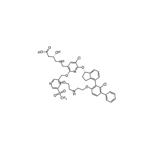 CS(=O)(=O)c1cncc(COc2nc(O[C@H]3CCc4c(-c5c(OCCNCCO)ccc(-c6ccccc6)c5Cl)cccc43)c(Cl)cc2CNC[C@@H](O)CC(=O)O)c1